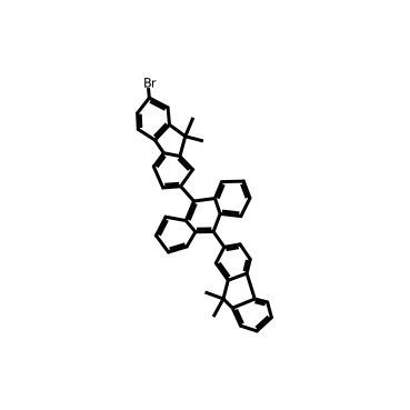 CC1(C)c2ccccc2-c2ccc(-c3c4ccccc4c(-c4ccc5c(c4)C(C)(C)c4cc(Br)ccc4-5)c4ccccc34)cc21